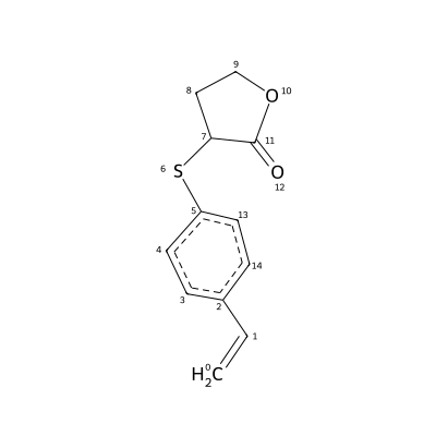 C=Cc1ccc(SC2CCOC2=O)cc1